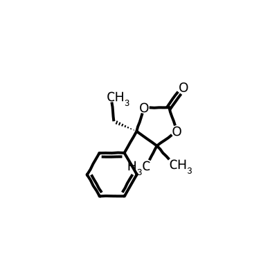 CC[C@]1(c2ccccc2)OC(=O)OC1(C)C